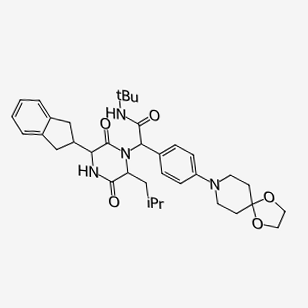 CC(C)CC1C(=O)NC(C2Cc3ccccc3C2)C(=O)N1C(C(=O)NC(C)(C)C)c1ccc(N2CCC3(CC2)OCCO3)cc1